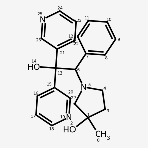 CC1(O)CCN(C(c2ccccc2)C(O)(c2cccnc2)c2cccnc2)C1